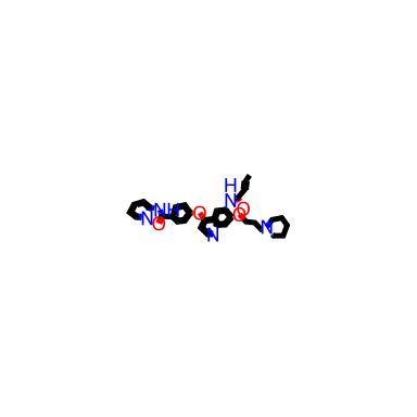 CC#CC(=O)Nc1cc2c(Oc3ccc(C(=O)Nc4ccccn4)cc3)ccnc2cc1OCCCN1CCCCC1